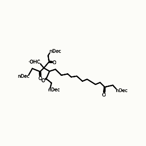 CCCCCCCCCCCC(=O)CCCCCCCCCC(C(=O)CCCCCCCCCCC)C([C]=O)(C(=O)CCCCCCCCCCC)C(=O)CCCCCCCCCCC